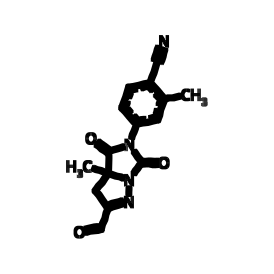 Cc1cc(N2C(=O)N3N=C(C=O)CC3(C)C2=O)ccc1C#N